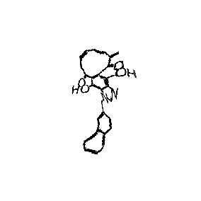 C=C1/C=C\C=C/CC(=O)c2c(c(O)c3ncn(Cc4ccc5ccccc5c4)c3c2O)C1=O